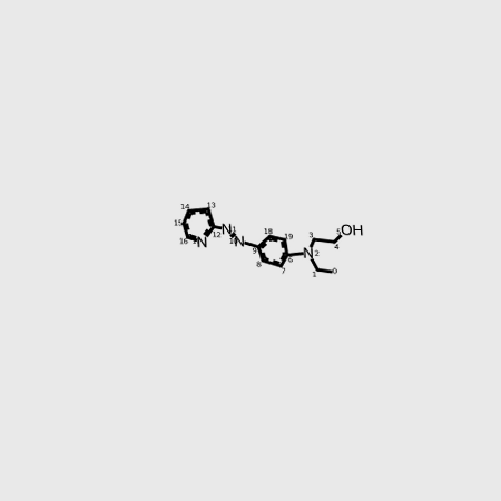 CCN(CCO)c1ccc(N=Nc2ccccn2)cc1